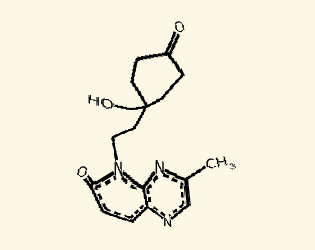 Cc1cnc2ccc(=O)n(CCC3(O)CCC(=O)CC3)c2n1